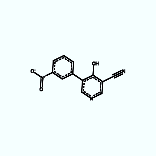 N#Cc1cncc(-c2cccc([N+](=O)[O-])c2)c1O